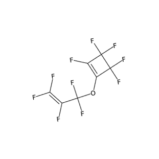 FC(F)=C(F)C(F)(F)OC1=C(F)C(F)(F)C1(F)F